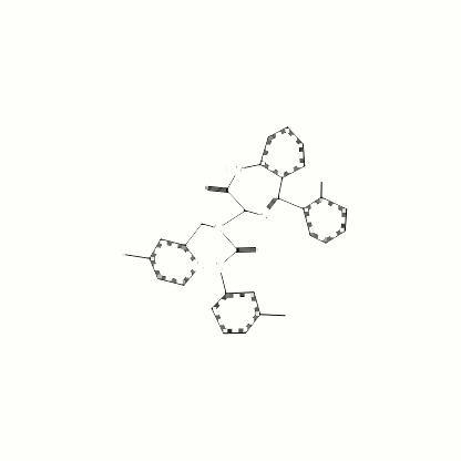 Cc1cccc(NC(=O)N(Cc2cc(Cl)ccn2)C2N=C(c3ccccc3F)c3ccccc3NC2=O)c1